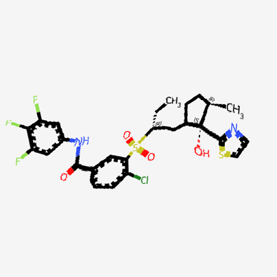 CC[C@H](CC1CC[C@@H](C)[C@@]1(O)c1nccs1)S(=O)(=O)c1cc(C(=O)Nc2cc(F)c(F)c(F)c2)ccc1Cl